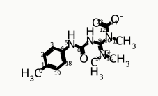 Cc1ccc(NC(=O)NC(N(C)C(=O)[O-])=[N+](C)C)cc1